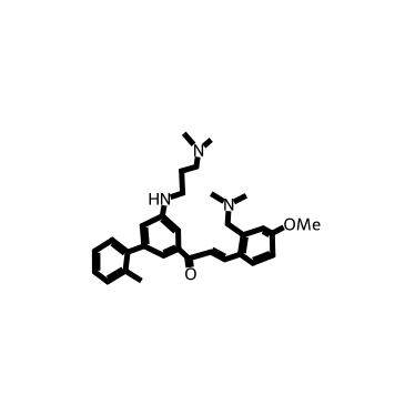 COc1ccc(/C=C/C(=O)c2cc(NCCCN(C)C)cc(-c3ccccc3C)c2)c(CN(C)C)c1